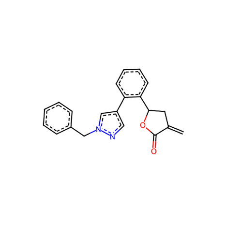 C=C1CC(c2ccccc2-c2cnn(Cc3ccccc3)c2)OC1=O